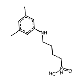 Cc1cc(C)cc(NCCCC[PH](=O)O)c1